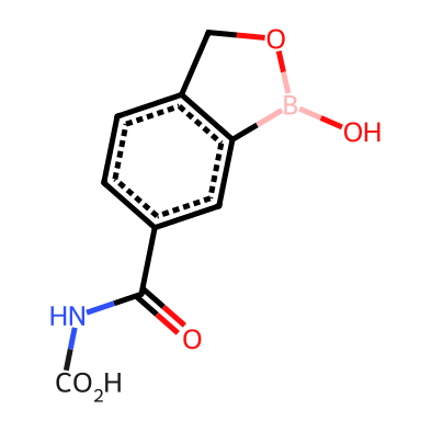 O=C(O)NC(=O)c1ccc2c(c1)B(O)OC2